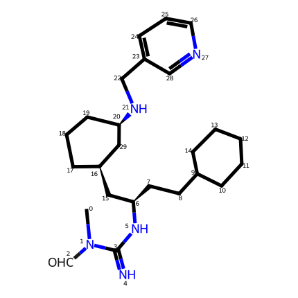 CN(C=O)C(=N)N[C@H](CCC1CCCCC1)C[C@H]1CCC[C@@H](NCc2cccnc2)C1